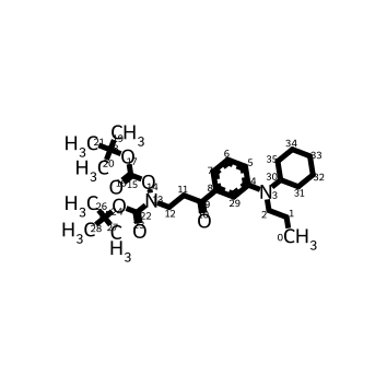 CCCN(c1cccc(C(=O)CCN(OC(=O)OC(C)(C)C)C(=O)OC(C)(C)C)c1)C1CCCCC1